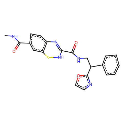 CNC(=O)c1ccc2c(c1)SNC(C(=O)NCC(c1ccccc1)c1ncco1)=N2